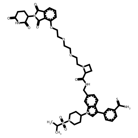 CC(C)S(=O)(=O)N1CCC(n2cc(-c3cccc(C(N)=S)c3)c3ccc(CNC(=O)C4CCN4CCOCCOCCOc4cccc5c4C(=O)N(C4CCC(=O)NC4=O)C5=O)cc32)CC1